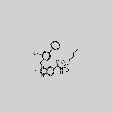 CCCCCS(=O)(=O)NC(=O)c1ccc2nc(C)n(Cc3ccc(-c4ccccc4)cc3Cl)c2c1